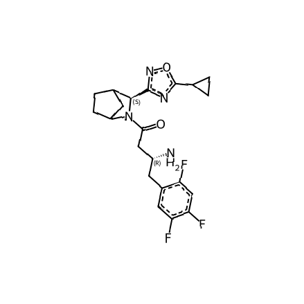 N[C@@H](CC(=O)N1C2CCC(C2)[C@H]1c1noc(C2CC2)n1)Cc1cc(F)c(F)cc1F